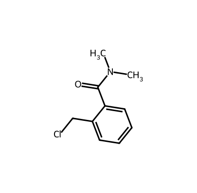 CN(C)C(=O)c1ccccc1CCl